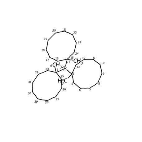 CC1(P(C2(C)CCCCCCCCC2)C2(C)CCCCCCCCC2)CCCCCCCCC1